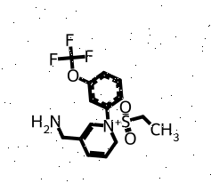 CCS(=O)(=O)[N+]1(c2cccc(OC(F)(F)F)c2)C=C(CN)C=CC1